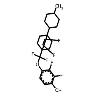 CC1CCC(C23CCC(C(F)(F)Oc4ccc(O)c(F)c4F)(CC2)C(F)=C3F)CC1